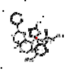 CSc1cnc(C(F)(F)F)c(-n2nc(C)nc2[C@@]23OC(c4ccccc4)OC[C@H]2OC[C@H](O)[C@H]3NNC(=O)OC(C)(C)C)c1